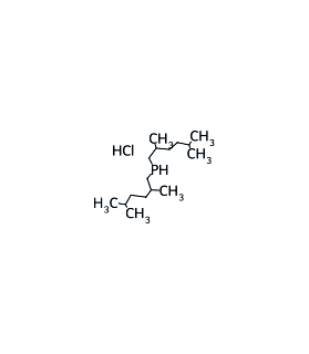 CC(C)CCC(C)CPCC(C)CCC(C)C.Cl